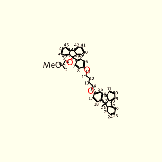 COC(C)COC1(c2ccc(OCCCCOc3ccc(C4(C)c5ccccc5-c5ccccc54)cc3)cc2)c2ccccc2-c2ccccc21